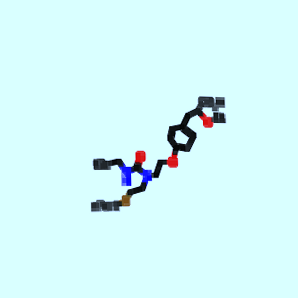 CCCCCSCCN(CCOc1ccc(CC(OCC)C(=O)O)cc1)C(=O)NCC(C)(C)C